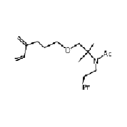 C=CC(=C)CCCOCC(C)(C)N(CCC(C)C)C(C)=O